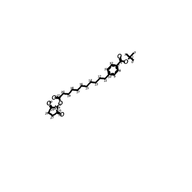 CC(C)(C)OC(=O)c1ccc(CCCCCCCCCCC(=O)ON2C(=O)CCC2=O)cc1